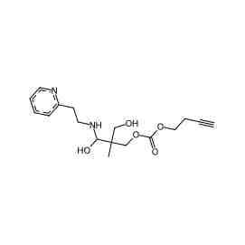 C#CCCOC(=O)OCC(C)(CO)C(O)NCCc1ccccn1